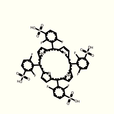 O=S(=O)(O)c1ccc(F)c(-c2c3nc(c(-c4c(F)ccc(S(=O)(=O)O)c4F)c4ccc([nH]4)c(-c4c(F)ccc(S(=O)(=O)O)c4F)c4nc(c(-c5c(F)ccc(S(=O)(=O)O)c5F)c5ccc2[nH]5)C=C4)C=C3)c1F